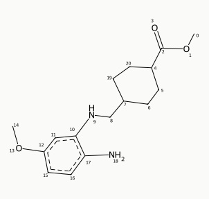 COC(=O)C1CCC(CNc2cc(OC)ccc2N)CC1